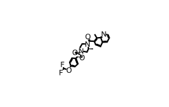 Cc1c(C(=O)N2CCN(S(=O)(=O)c3ccc(OC(F)F)cc3)C[C@@H]2C)ccc2cccnc12